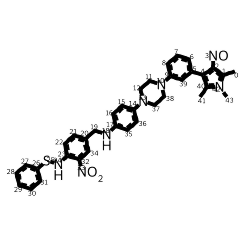 Cc1c(N=O)c(-c2cccc(N3CCN(c4ccc(NCc5ccc(NSc6ccccc6)c([N+](=O)[O-])c5)cc4)CC3)c2)c(C)n1C